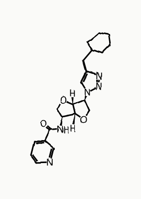 O=C(N[C@H]1CO[C@H]2[C@@H]1OC[C@@H]2n1cc(CC2CCCCC2)nn1)c1cccnc1